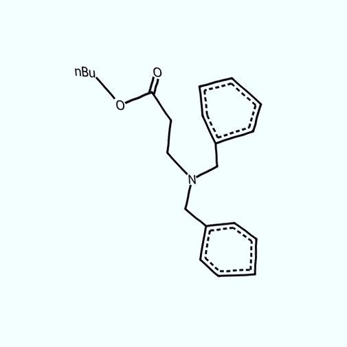 CCCCOC(=O)CCN(Cc1ccccc1)Cc1ccccc1